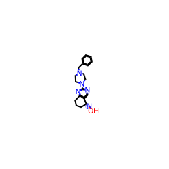 O/N=C1\CCCc2nc(N3CCN(Cc4ccccc4)CC3)ncc21